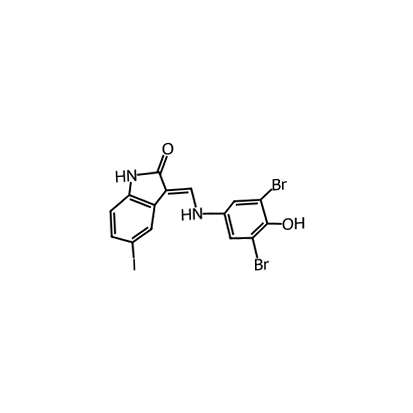 O=C1Nc2ccc(I)cc2/C1=C\Nc1cc(Br)c(O)c(Br)c1